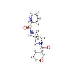 O=C(C1CCCOC1)N1CC2=C(C1)CN([S+]([O-])c1ccccn1)C2